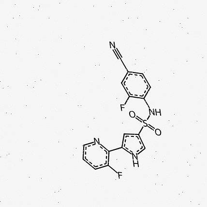 N#Cc1ccc(NS(=O)(=O)c2c[nH]c(-c3ncccc3F)c2)c(F)c1